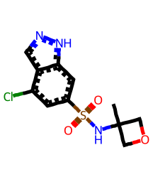 CC1(NS(=O)(=O)c2cc(Cl)c3cn[nH]c3c2)COC1